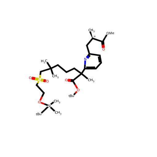 COC(=O)[C@H](C)Cc1cccc(C(C)(CCCC(C)(C)CS(=O)(=O)CCO[Si](C)(C)C(C)(C)C)C(=O)OC(C)(C)C)n1